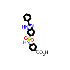 O=C(O)c1ccc(NS(=O)(=O)c2ccc3nc(-c4ccccc4)[nH]c3c2)cc1